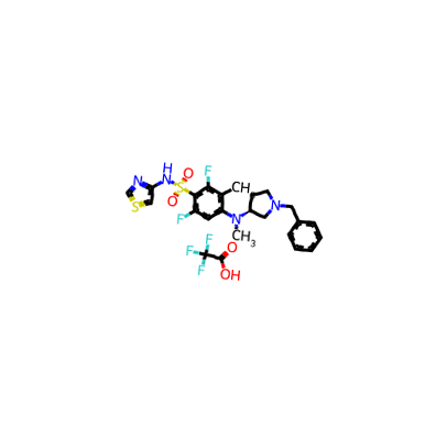 Cc1c(N(C)[C@H]2CCN(Cc3ccccc3)C2)cc(F)c(S(=O)(=O)Nc2cscn2)c1F.O=C(O)C(F)(F)F